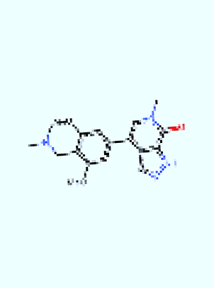 COc1cc(-c2cn(C)c(=O)c3[nH]ncc23)cc(OC)c1CN(C)C